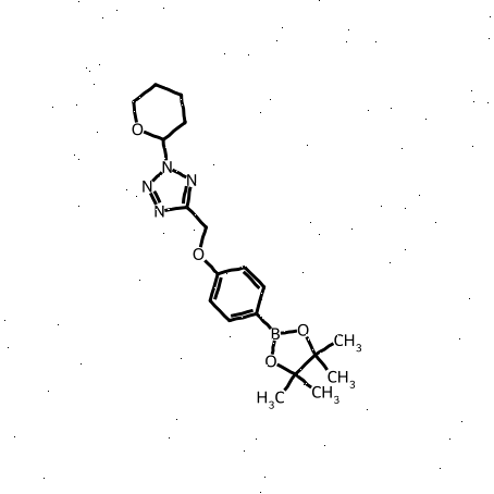 CC1(C)OB(c2ccc(OCc3nnn(C4CCCCO4)n3)cc2)OC1(C)C